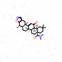 C[C@H]1c2oncc2C[C@]2(C)C3=CC(=O)[C@@H]4[C@@H]5CC(C)(C)CC[C@]5(C(=O)N(C)C)CC[C@@]4(C)[C@]3(C)CCC12